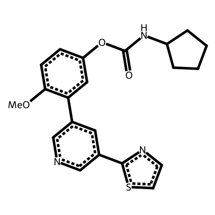 COc1ccc(OC(=O)NC2CCCC2)cc1-c1cncc(-c2nccs2)c1